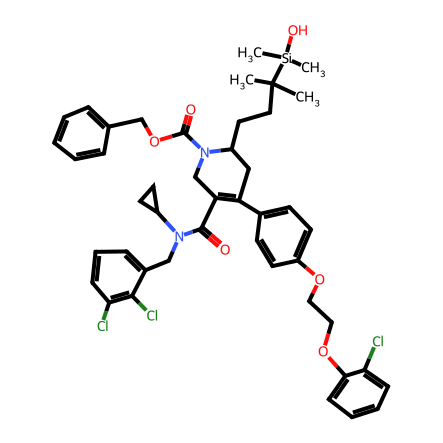 CC(C)(CCC1CC(c2ccc(OCCOc3ccccc3Cl)cc2)=C(C(=O)N(Cc2cccc(Cl)c2Cl)C2CC2)CN1C(=O)OCc1ccccc1)[Si](C)(C)O